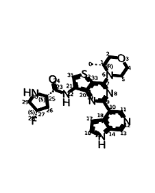 C[C@@H]1COCCN1c1nc(-c2cncc3[nH]ccc23)nc2c(NC(=O)[C@@H]3C[C@H](F)CN3)csc12